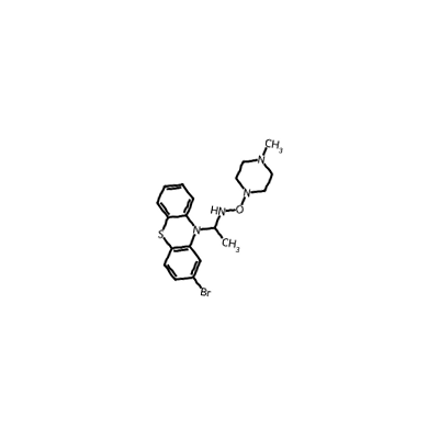 CC(NON1CCN(C)CC1)N1c2ccccc2Sc2ccc(Br)cc21